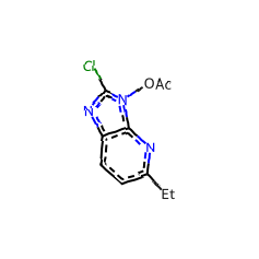 CCc1ccc2nc(Cl)n(OC(C)=O)c2n1